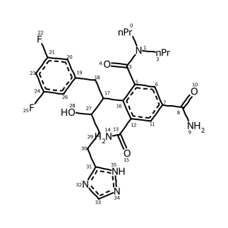 CCCN(CCC)C(=O)c1cc(C(N)=O)cc(C(N)=O)c1C(Cc1cc(F)cc(F)c1)C(O)CCc1ncn[nH]1